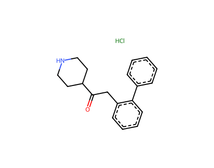 Cl.O=C(Cc1ccccc1-c1ccccc1)C1CCNCC1